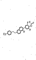 CCc1ccc(CCc2ccc3c(F)c(-c4cc(F)c(OC(F)F)c(F)c4)ccc3c2)cc1